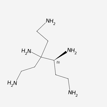 NCC[C@H](N)C(N)(CCN)CCN